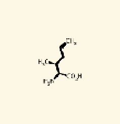 C=CC[C@H](C)[C@H](N)C(=O)O